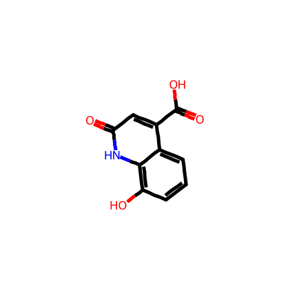 O=C(O)c1cc(=O)[nH]c2c(O)cccc12